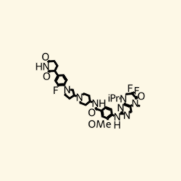 COc1cc(C(=O)NC2CCN(C3CCN(c4ccc(C5CCC(=O)NC5=O)cc4F)C3)CC2)ccc1Nc1ncc2c(n1)N(C(C)C)CC(F)(F)C(=O)N2C